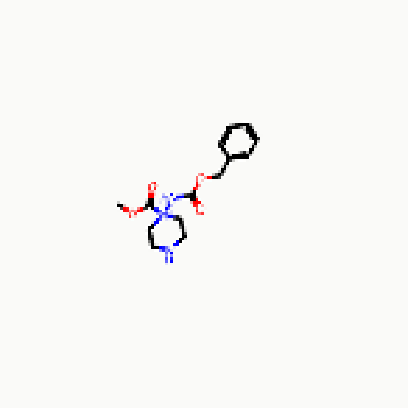 COC(=O)[N+]1(NC(=O)OCc2ccccc2)CCNCC1